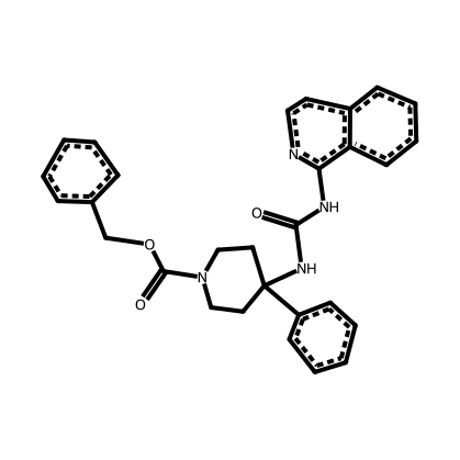 O=C(Nc1nccc2ccccc12)NC1(c2ccccc2)CCN(C(=O)OCc2ccccc2)CC1